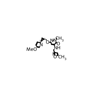 COc1ccc([C@H]2C[C@@H]2COc2cc(NCc3cc(C)on3)c(=O)n(C)n2)nc1